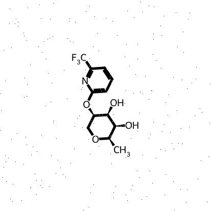 C[C@H]1OC[C@@H](Oc2cccc(C(F)(F)F)n2)[C@@H](O)[C@H]1O